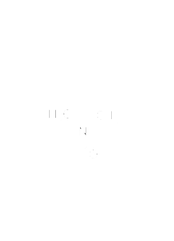 CC(C)(c1ccccc1)[N+]1(Cc2ccccc2)Cc2ccccc2C1=O